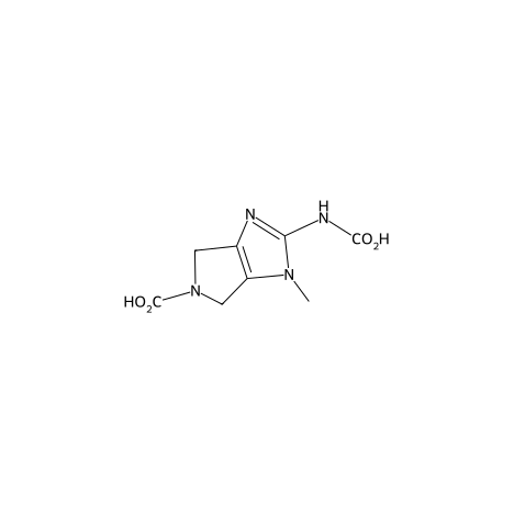 Cn1c(NC(=O)O)nc2c1CN(C(=O)O)C2